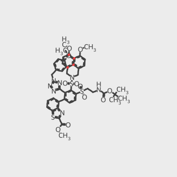 COC(=O)c1nc2c(-c3ccc(S(=O)(=O)CCNC(=O)OC(C)(C)C)c(S(=O)(=O)N(Cc4ccc(OC)cc4)Cc4ccc(OC)cc4)c3-c3nnn(Cc4ccc(OC)cc4)n3)cccc2s1